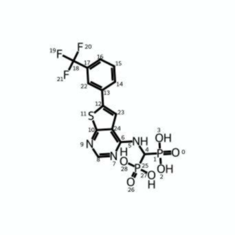 O=P(O)(O)C(Nc1ncnc2sc(-c3cccc(C(F)(F)F)c3)cc12)P(=O)(O)O